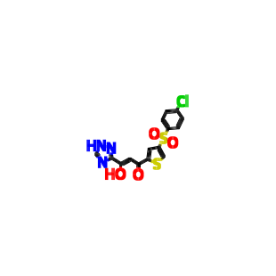 O=C(C=C(O)c1nc[nH]n1)c1cc(S(=O)(=O)c2ccc(Cl)cc2)cs1